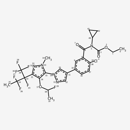 CCOC(=O)N(C(=O)c1cc(-c2cnn(-c3c(OC(C)F)c(C(F)(C(C)(F)F)C(F)(F)F)nn3C)c2)ccc1Cl)C1CC1